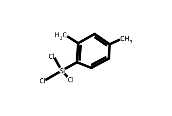 Cc1ccc([Si](Cl)(Cl)Cl)c(C)c1